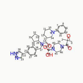 CC(C)(Oc1cccc(N2CCC[C@@H](C(=O)N(Cc3ccc(-c4cn[nH]c4)cc3)C3CCCC3)C2)c1)C(=O)N1CCN(C(=O)O)CC1